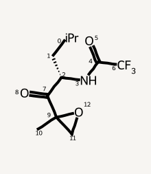 CC(C)C[C@H](NC(=O)C(F)(F)F)C(=O)C1(C)CO1